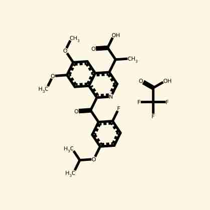 COc1cc2c(C(C)C(=O)O)cnc(C(=O)c3cc(OC(C)C)ccc3F)c2cc1OC.O=C(O)C(F)(F)F